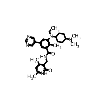 CCN(c1cc(-c2cncnc2)cc(C(=O)NCc2c(C)cc(C)[nH]c2=O)c1C)C1CCC(N(C)C)CC1